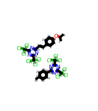 CC(C)Oc1ccc(C=Cc2nc(C(Cl)(Cl)Cl)nc(C(Cl)(Cl)Cl)n2)cc1.Cc1ccc(-c2nc(C(Cl)(Cl)Cl)nc(C(Cl)(Cl)Cl)n2)cc1